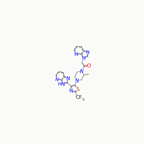 CC1CN(c2sc(C(F)(F)F)nc2-c2nc3cccnc3[nH]2)CCN1C(=O)Cn1cnc2cccnc21